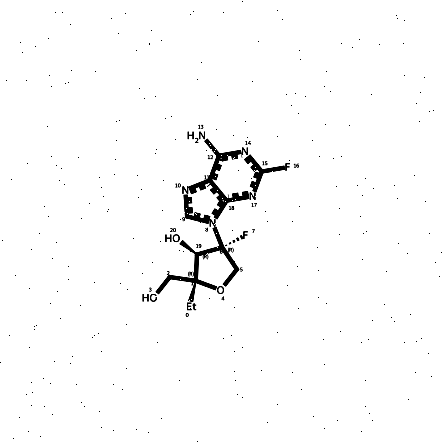 CC[C@]1(CO)OC[C@](F)(n2cnc3c(N)nc(F)nc32)[C@@H]1O